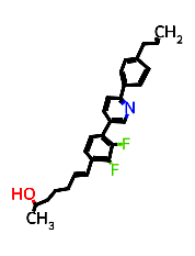 C=CCc1ccc(-c2ccc(-c3ccc(C=CCCCC(C)O)c(F)c3F)cn2)cc1